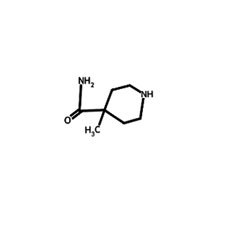 CC1(C(N)=O)CCNCC1